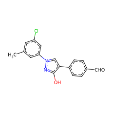 Cc1cc(Cl)cc(-n2cc(-c3ccc(C=O)cc3)c(O)n2)c1